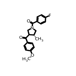 COc1ccc(C(=O)C2CN(C(=O)c3ccc(F)cc3)C[C@@H]2C)cc1